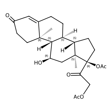 CC(=O)OCC(=O)[C@@]1(OC(C)=O)CC[C@H]2[C@@H]3CCC4=CC(=O)CC[C@]4(C)[C@H]3[C@H](O)C[C@@]21C